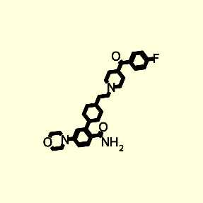 NC(=O)c1ccc(N2CCOCC2)cc1C1CCC(CCN2CCC(C(=O)c3ccc(F)cc3)CC2)CC1